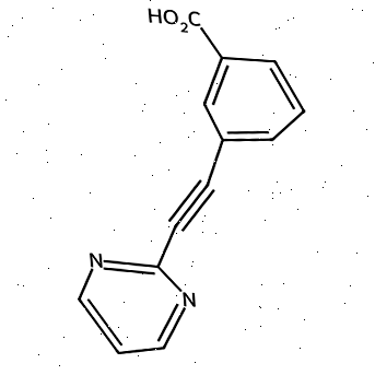 O=C(O)c1cccc(C#Cc2ncccn2)c1